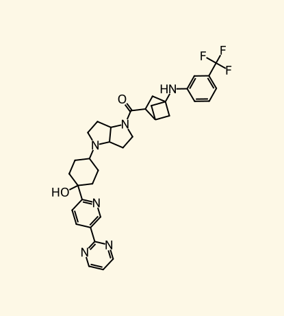 O=C(C1CC2(Nc3cccc(C(F)(F)F)c3)CC1C2)N1CCC2C1CCN2C1CCC(O)(c2ccc(-c3ncccn3)cn2)CC1